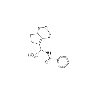 O=C(NC(C(=O)O)C1=C2C=COC=C2CC1)c1ccccc1